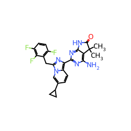 CC1(C)C(=O)Nc2nc(-c3nc(Cc4c(F)ccc(F)c4F)n4cc(C5CC5)ccc34)nc(N)c21